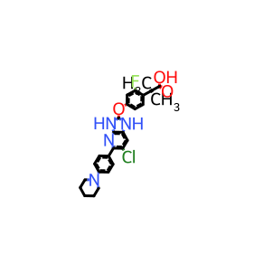 CC(C)(C(=O)O)c1ccc(OC2Nc3cc(Cl)c(-c4ccc(N5CCCCC5)cc4)nc3N2)cc1F